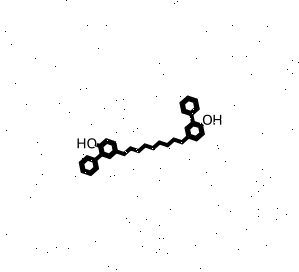 Oc1ccc(CCCCCCCCCc2ccc(O)c(-c3ccccc3)c2)cc1-c1ccccc1